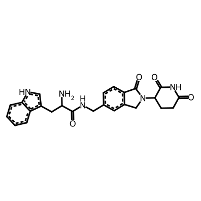 NC(Cc1c[nH]c2ccccc12)C(=O)NCc1ccc2c(c1)CN(C1CCC(=O)NC1=O)C2=O